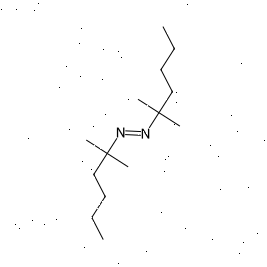 CCCCC(C)(C)N=NC(C)(C)CCCC